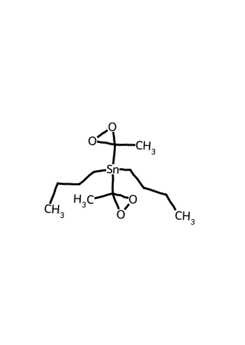 CCC[CH2][Sn]([CH2]CCC)([C]1(C)OO1)[C]1(C)OO1